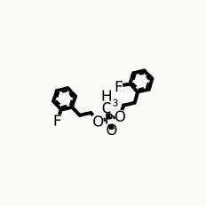 CP(=O)(OCCc1ccccc1F)OCCc1ccccc1F